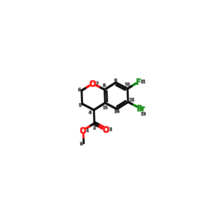 COC(=O)C1CCOc2cc(F)c(Br)cc21